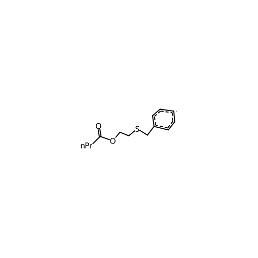 [CH2]CCC(=O)OCCSCc1cc[c]cc1